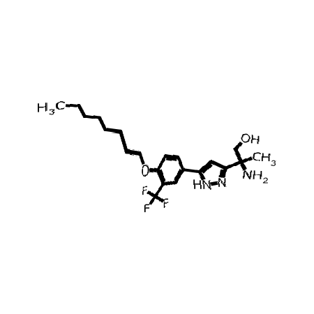 CCCCCCCCOc1ccc(-c2cc(C(C)(N)CO)n[nH]2)cc1C(F)(F)F